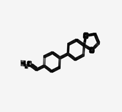 C=CC1CCC(C2CCC3(CC2)OCCO3)CC1